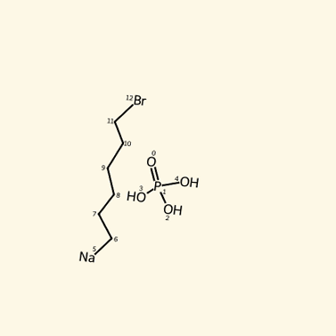 O=P(O)(O)O.[Na][CH2]CCCCCBr